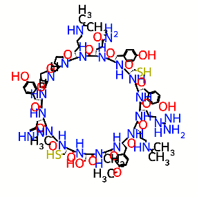 COc1ccc(C[C@H]2NC(=O)[C@H](C)NC(=O)[C@H](CO)NC(=O)[C@H](CS)NC(=O)[C@H](C)NC(=O)[C@H](Cc3c[nH]cn3)NC(=O)[C@H](Cc3ccc(O)cc3)NC(=O)[C@@H]3CCCN3C(=O)[C@H]3CCCN3C(=O)[C@H](CCCCNC(C)C)NC(=O)[C@H](CCC(N)=O)NC(=O)[C@H](Cc3ccc(O)cc3)NC(=O)[C@H](CS)NC(=O)[C@H](Cc3ccc(O)cc3)NC(=O)[C@H](CCCNC(=N)N)NC(=O)[C@H](CCCNC(C)C)NC2=O)cc1